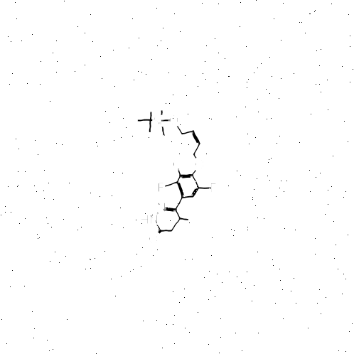 CC1CC(=O)NN=C1c1cc(F)c(OC/C=C\CO[Si](C)(C)C(C)(C)C)c(Cl)c1F